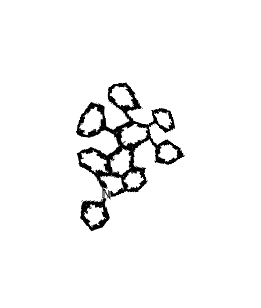 c1ccc(-c2c(-c3ccccc3)c(-c3ccccc3)c3c4cccc5c4c4c(cccc4n5-c4ccccc4)c3c2-c2ccccc2)cc1